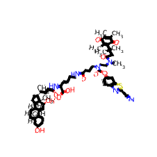 CC1=C(C)C(=O)C(C(C)(C)CC(=O)N(C)CCN(CCCC(=O)NCCCCC(NC(=O)CCC(C)[C@H]2CC[C@H]3[C@@H]4CC[C@@H]5C[C@H](O)CC[C@]5(C)[C@H]4C[C@H](O)[C@]23C)C(=O)O)C(=O)Oc2ccc3nc(C#N)sc3c2)=C(C)C1=O